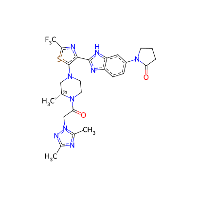 Cc1nc(C)n(CC(=O)N2CCN(c3sc(C(F)(F)F)nc3-c3nc4ccc(N5CCCC5=O)cc4[nH]3)C[C@H]2C)n1